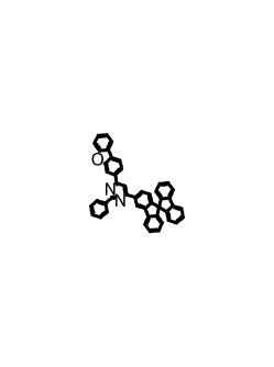 c1ccc(-c2nc(-c3ccc4c(c3)-c3ccccc3C43c4ccccc4-c4ccccc43)cc(-c3ccc4c(c3)oc3ccccc34)n2)cc1